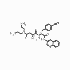 N#Cc1ccc(C[C@H](NC(=O)[C@@H](N)CC(=O)N(CCN)CCN)C(=O)Nc2cnc3ccccc3c2)cc1